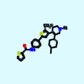 CCN1CCC(c2cc(-c3ccc(NC(=O)c4cccs4)cc3)sc2C(=O)O)=C(C2CCC(C)CC2)C1